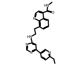 CCc1ccc(-c2cc(NCCc3cccc4c(C(=O)NC)ccnc34)ncn2)cn1